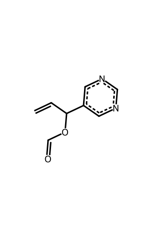 C=CC(OC=O)c1cncnc1